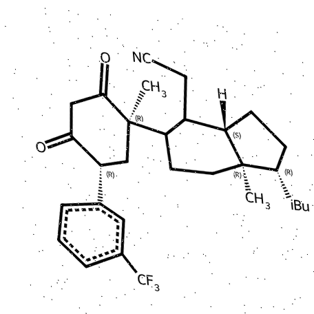 CCC(C)[C@H]1CC[C@H]2C(CC#N)C([C@@]3(C)C[C@H](c4cccc(C(F)(F)F)c4)C(=O)CC3=O)CC[C@]12C